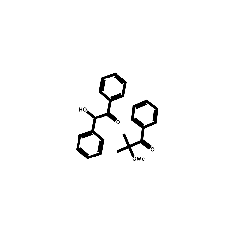 COC(C)(C)C(=O)c1ccccc1.O=C(c1ccccc1)C(O)c1ccccc1